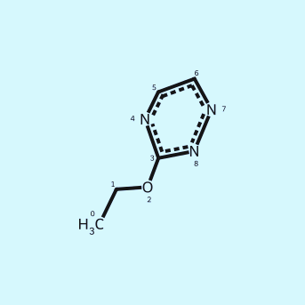 CCOc1nccnn1